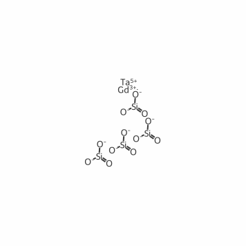 O=[Si]([O-])[O-].O=[Si]([O-])[O-].O=[Si]([O-])[O-].O=[Si]([O-])[O-].[Gd+3].[Ta+5]